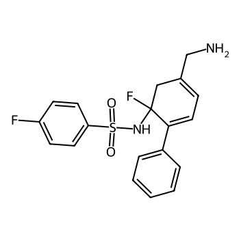 NCC1=CC=C(c2ccccc2)C(F)(NS(=O)(=O)c2ccc(F)cc2)C1